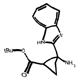 CC(C)(C)OC(=O)C1CC1(N)c1nc2ccccc2[nH]1